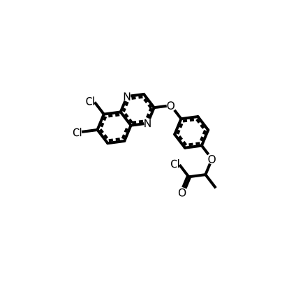 CC(Oc1ccc(Oc2cnc3c(Cl)c(Cl)ccc3n2)cc1)C(=O)Cl